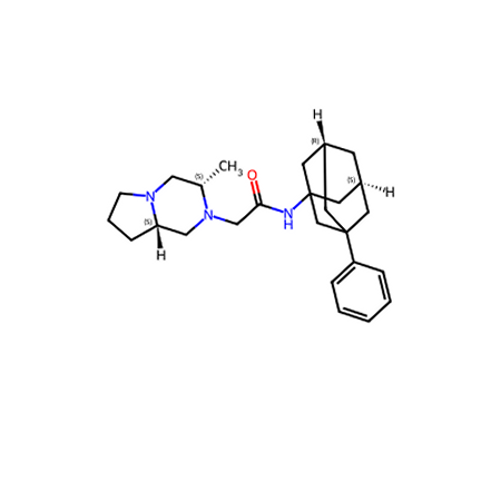 C[C@H]1CN2CCC[C@H]2CN1CC(=O)NC12C[C@H]3C[C@@H](C1)CC(c1ccccc1)(C3)C2